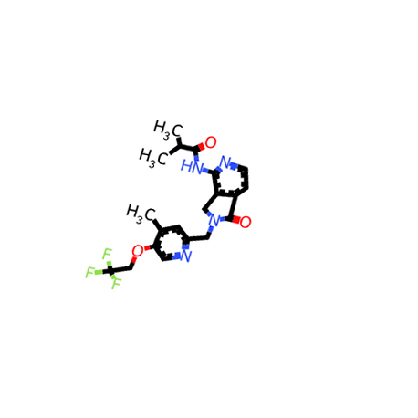 Cc1cc(CN2Cc3c(ccnc3NC(=O)C(C)C)C2=O)ncc1OCC(F)(F)F